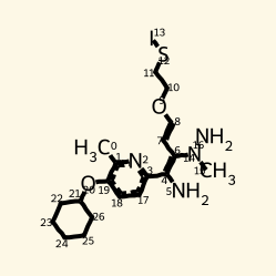 Cc1nc(/C(N)=C(\C=C\OCCSI)N(C)N)ccc1OC1CCCCC1